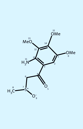 COc1cc(C(=O)C[S+](C)[O-])c(N)c(OC)c1OC